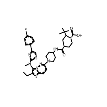 CCc1nc2ccc(N3CCC(NC(=O)C4CCN(C(=O)O)C(C(C)(C)C)C4)CC3)nn2c1N(C)c1nc(-c2ccc(F)cc2)cs1